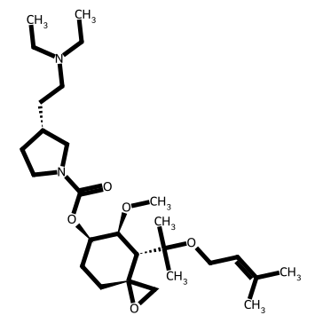 CCN(CC)CC[C@H]1CCN(C(=O)O[C@@H]2CC[C@]3(CO3)[C@@H](C(C)(C)OCC=C(C)C)[C@@H]2OC)C1